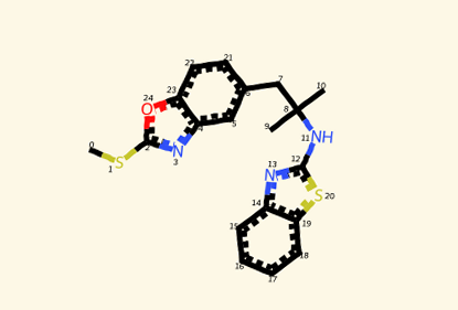 CSc1nc2cc(CC(C)(C)Nc3nc4ccccc4s3)ccc2o1